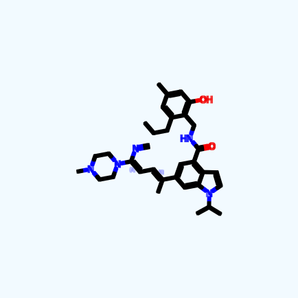 C=N/C(=C\C=C(/C)c1cc(C(=O)NCc2c(O)cc(C)cc2CCC)c2ccn(C(C)C)c2c1)N1CCN(C)CC1